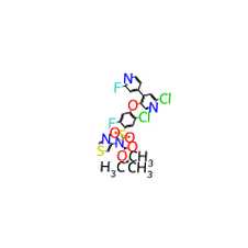 CC(C)(C)OC(=O)N(c1cscn1)S(=O)(=O)c1cc(Cl)c(Oc2cnc(Cl)cc2-c2ccnc(F)c2)cc1F